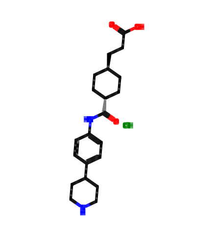 Cl.O=C(O)CC[C@H]1CC[C@H](C(=O)Nc2ccc(C3CCNCC3)cc2)CC1